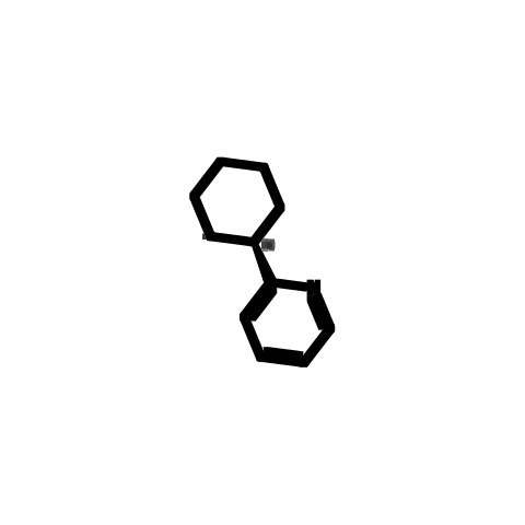 [CH]1CCCC[C@H]1c1ccccn1